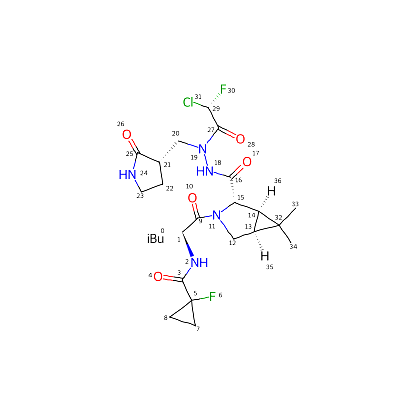 CC[C@H](C)[C@H](NC(=O)C1(F)CC1)C(=O)N1C[C@H]2[C@@H]([C@H]1C(=O)NN(C[C@@H]1CCNC1=O)C(=O)[C@@H](F)Cl)C2(C)C